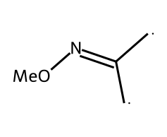 [CH2]C([CH2])=NOC